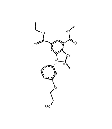 CCOC(=O)c1cc(C(=O)NC)c2c(c1)[C@@H](c1cccc(OCCO)c1)[C@H](C)O2